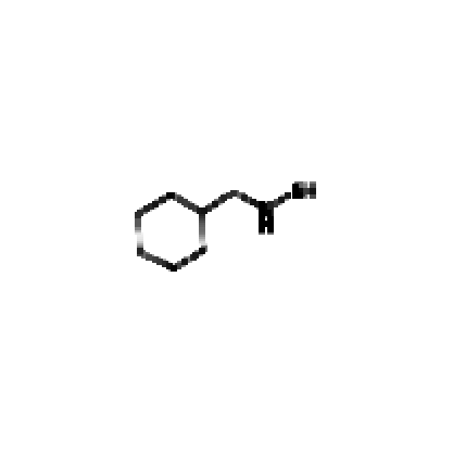 SNCC1CCCCC1